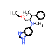 C=COCC(C(C)c1ccccc1)N(C)c1ccc2[nH]cnc2c1